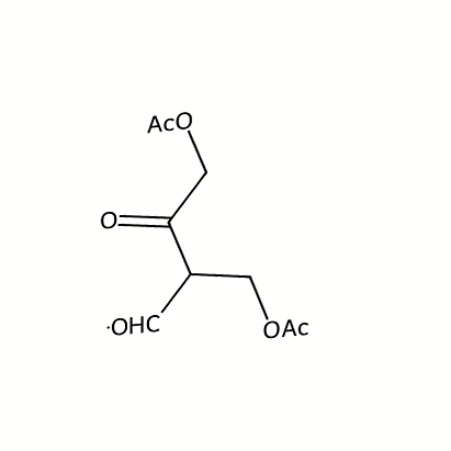 CC(=O)OCC(=O)C([C]=O)COC(C)=O